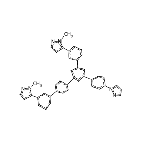 Cn1nccc1-c1cccc(-c2ccc(-c3cc(-c4ccc(-n5cccn5)cc4)cc(-c4cccc(-c5ccnn5C)c4)c3)cc2)c1